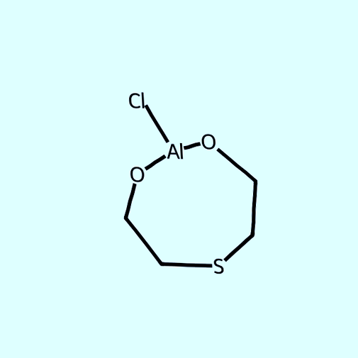 [Cl][Al]1[O]CCSCC[O]1